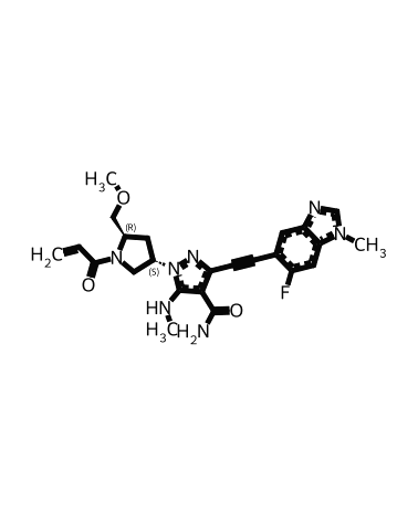 C=CC(=O)N1C[C@@H](n2nc(C#Cc3cc4ncn(C)c4cc3F)c(C(N)=O)c2NC)C[C@@H]1COC